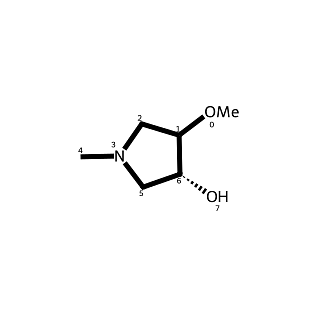 COC1CN(C)C[C@H]1O